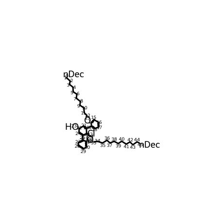 CCCCCCCCCCCCCCCCCCCCCCOc1ccccc1C1=CC(O)C=C(c2ccccc2OCCCCCCCCCCCCCCCCCCCCCC)C1(Cl)Cl